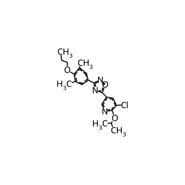 CCCOc1c(C)cc(-c2noc(-c3cnc(OC(C)C)c(Cl)c3)n2)cc1C